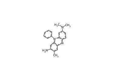 Cc1cc2nc3ccc(N(C)C)cc3[n+](-c3ccccc3)c2cc1N